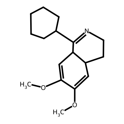 COC1=CC2CCN=C(C3CCCCC3)C2C=C1OC